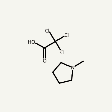 CN1CCCC1.O=C(O)C(Cl)(Cl)Cl